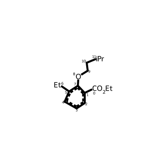 CCOC(=O)c1cccc(CC)c1OCCC(C)C